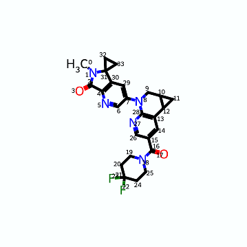 CN1C(=O)c2ncc(N3CC4CC4c4cc(C(=O)N5CCC(F)(F)CC5)cnc43)cc2C12CC2